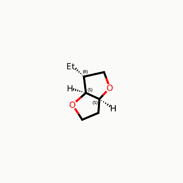 CC[C@@H]1CO[C@H]2CCO[C@@H]12